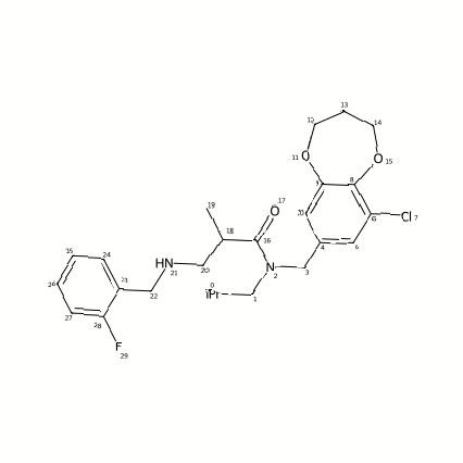 CC(C)CN(Cc1cc(Cl)c2c(c1)OCCCO2)C(=O)C(C)CNCc1ccccc1F